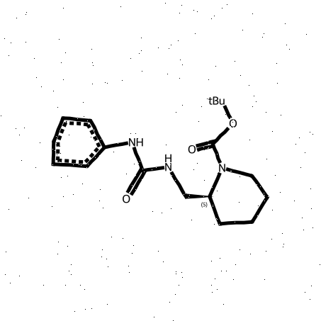 CC(C)(C)OC(=O)N1CCCC[C@H]1CNC(=O)Nc1ccccc1